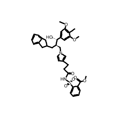 COC(=O)c1ccccc1S(=O)(=O)NC(=O)CCc1ccn(C[C@@H](CC2Cc3ccccc3C2)[C@H](O)c2cc(OC)c(C)c(OC)c2)c1